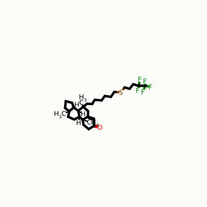 CC1(CCCCCCCSCCCC(F)(F)C(F)(F)F)CC2=CC(=O)CC[C@]2(C)[C@@H]2CC[C@]3(C)CCC[C@H]3[C@@H]21